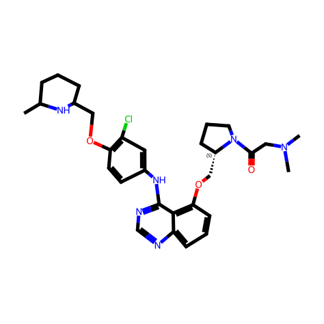 CC1CCCC(COc2ccc(Nc3ncnc4cccc(OC[C@@H]5CCCN5C(=O)CN(C)C)c34)cc2Cl)N1